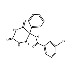 O=C1NC(=O)C(NC(=O)c2cccc(Br)c2)(c2ccccc2)C(=O)N1